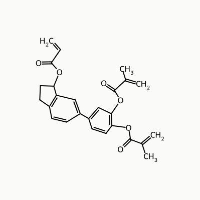 C=CC(=O)OC1CCc2ccc(-c3ccc(OC(=O)C(=C)C)c(OC(=O)C(=C)C)c3)cc21